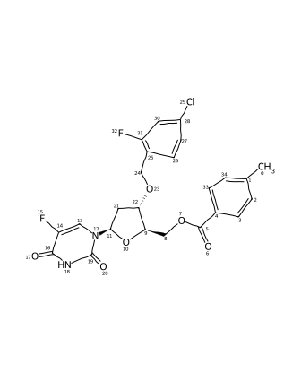 Cc1ccc(C(=O)OC[C@H]2O[C@@H](n3cc(F)c(=O)[nH]c3=O)C[C@@H]2OCc2ccc(Cl)cc2F)cc1